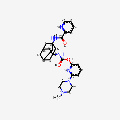 CN1CCN(c2cccc(OC(=O)NC34CC5CC(C3)CC(NC(=O)c3ccccn3)(C5)C4)n2)CC1